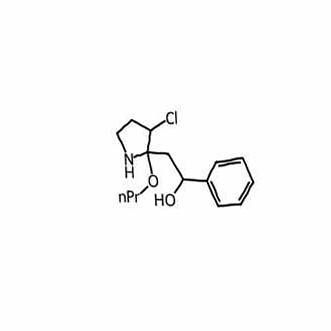 CCCOC1(CC(O)c2ccccc2)NCCC1Cl